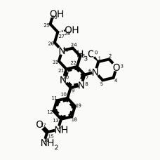 C[C@H]1COCCN1c1nc(-c2ccc(NC(N)=O)cc2)nc2c1CCN(C[C@@H](O)CO)C2